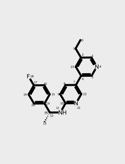 CCc1cncc(-c2ccc(N[C@H](C)c3ccc(F)cc3)nc2)c1